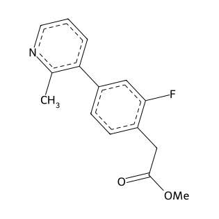 COC(=O)Cc1ccc(-c2cccnc2C)cc1F